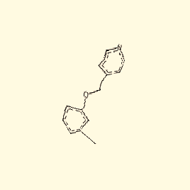 Cc1cccc(OCc2ccncc2)c1